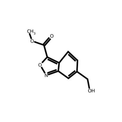 COC(=O)c1onc2cc(CO)ccc12